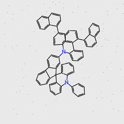 c1ccc(N2c3ccccc3C3(c4ccccc4-c4ccc(N(c5ccc(-c6cccc7ccccc67)cc5)c5ccccc5-c5ccccc5-c5cccc6ccccc56)cc43)c3ccccc32)cc1